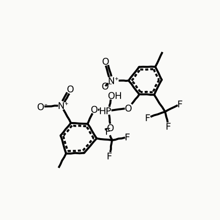 CO[PH](O)(Oc1c([N+](=O)[O-])cc(C)cc1C(F)(F)F)Oc1c([N+](=O)[O-])cc(C)cc1C(F)(F)F